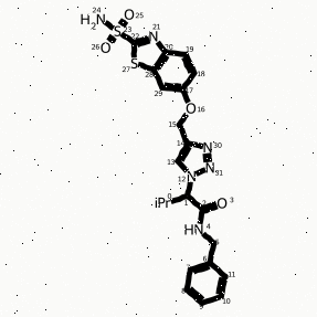 CC(C)C(C(=O)NCc1ccccc1)n1cc(COc2ccc3nc(S(N)(=O)=O)sc3c2)nn1